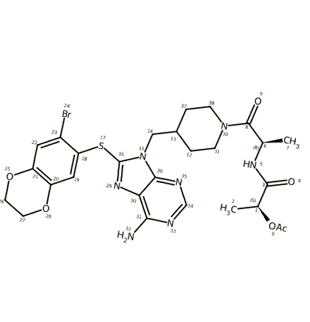 CC(=O)O[C@@H](C)C(=O)N[C@H](C)C(=O)N1CCC(Cn2c(Sc3cc4c(cc3Br)OCCO4)nc3c(N)ncnc32)CC1